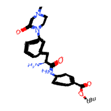 CN1CCN(c2cccc(C[C@H](N)C(=O)Nc3ccc(C(=O)OC(C)(C)C)cc3)c2)C(=O)C1